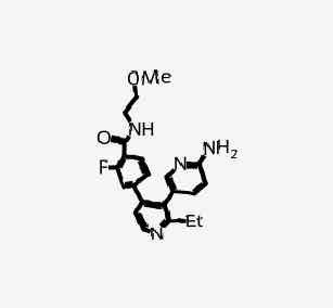 CCc1nccc(-c2ccc(C(=O)NCCOC)c(F)c2)c1-c1ccc(N)nc1